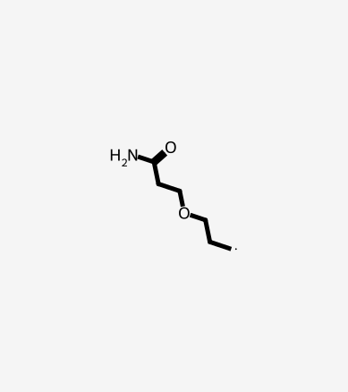 [CH2]CCOCCC(N)=O